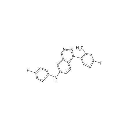 Cc1cc(F)ccc1-c1nncc2cc(Nc3ccc(F)cc3)ccc12